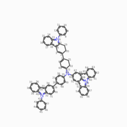 C1=C(C2=Cc3c(n(-c4ccccc4)c4ccccc34)CC2)CCC(N(c2ccc(-c3ccc4c(c3)c3ccccc3n4-c3ccccc3)cc2)c2cc3c4ccccc4n4c5ccccc5c(c2)c34)=C1